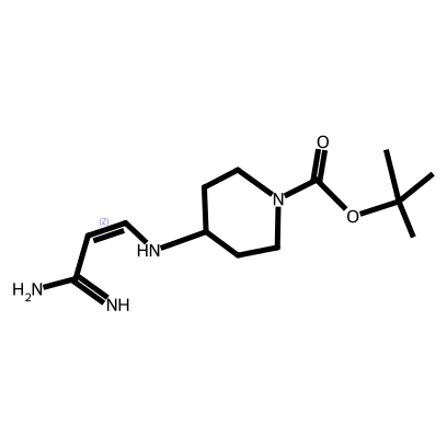 CC(C)(C)OC(=O)N1CCC(N/C=C\C(=N)N)CC1